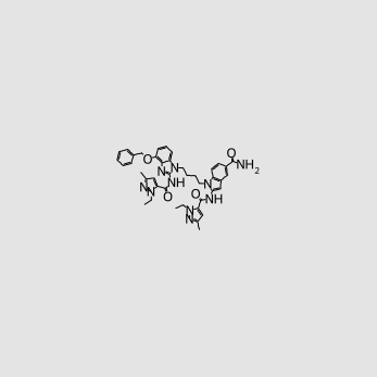 CCn1nc(C)cc1C(=O)Nc1cc2cc(C(N)=O)ccc2n1CCCCn1c(NC(=O)c2cc(C)nn2CC)nc2c(OCc3ccccc3)cccc21